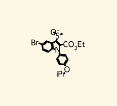 CCOC(=O)c1c([S+](C)[O-])c2cc(Br)ccc2n1-c1ccc(OC(C)C)cc1